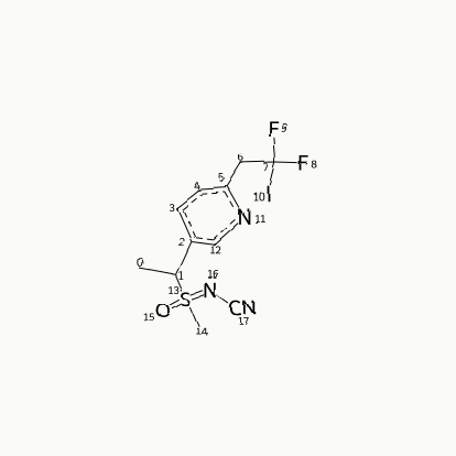 CC(c1ccc(CC(F)(F)I)nc1)S(C)(=O)=NC#N